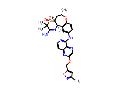 Cc1cc(COc2cnc3c(Nc4ccc5c(c4)[C@@]4(C)N=C(N)C(C)(C)S(=O)(=O)[C@@H]4C[C@H](C)O5)nccc3n2)on1